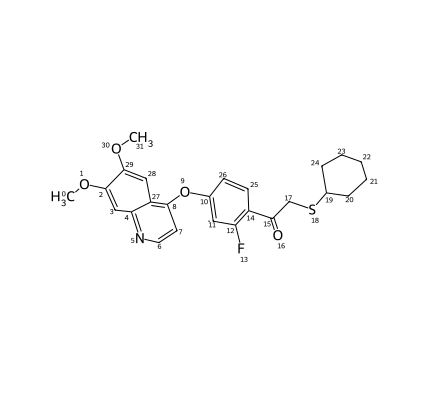 COc1cc2nccc(Oc3[c]c(F)c(C(=O)CSC4CCCCC4)cc3)c2cc1OC